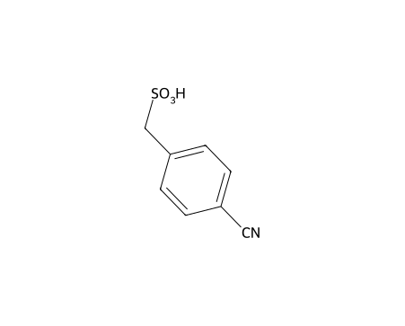 N#Cc1ccc(CS(=O)(=O)O)cc1